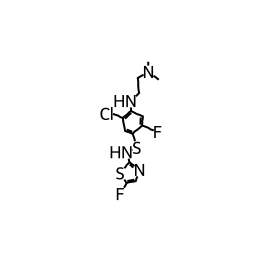 CN(C)CCNc1cc(F)c(SNc2ncc(F)s2)cc1Cl